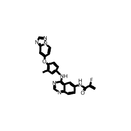 C=C(F)C(=O)Nc1ccc2ncnc(Nc3ccc(Oc4ccn5ncnc5c4)c(C)c3)c2c1